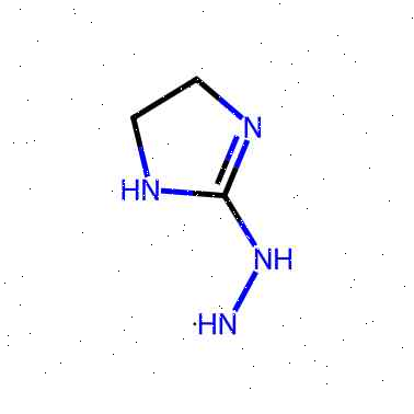 [NH]NC1=NCCN1